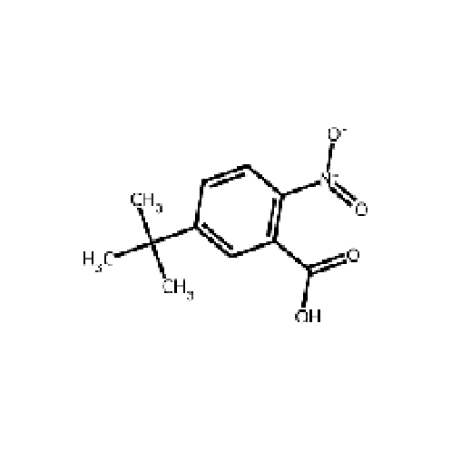 CC(C)(C)c1ccc([N+](=O)[O-])c(C(=O)O)c1